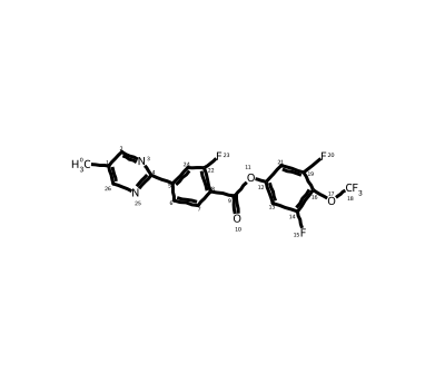 Cc1cnc(-c2ccc(C(=O)Oc3cc(F)c(OC(F)(F)F)c(F)c3)c(F)c2)nc1